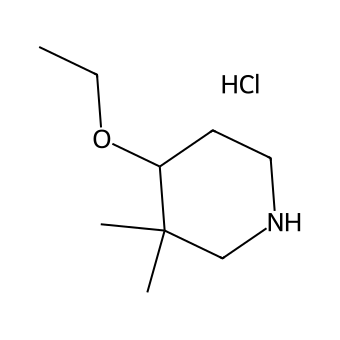 CCOC1CCNCC1(C)C.Cl